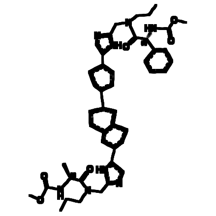 CCCN(Cc1ncc(-c2ccc3cc(-c4ccc(-c5cnc(CN(CCC)C(=O)[C@H](NC(=O)OC)c6ccccc6)[nH]5)cc4)ccc3c2)[nH]1)C(=O)[C@H](C)NC(=O)OC